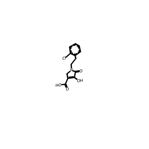 O=C(O)C1=C(O)C(=O)N(CCc2ccccc2Cl)C1